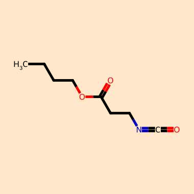 CCCCOC(=O)CCN=C=O